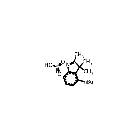 CCCCc1cccc2c1C(C)(C)C(C)=N2.O=[SH](=O)O